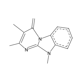 C=C1C(C)=C(C)N=C2N(C)c3ccccc3N12